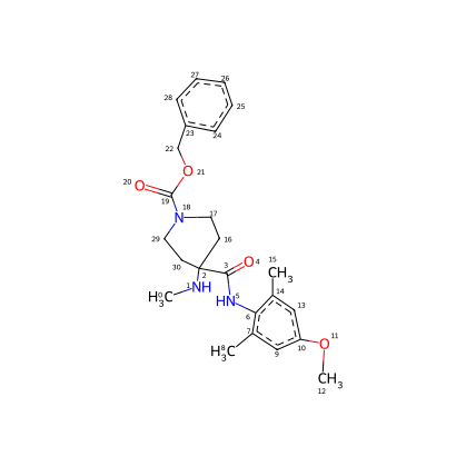 CNC1(C(=O)Nc2c(C)cc(OC)cc2C)CCN(C(=O)OCc2ccccc2)CC1